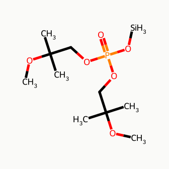 COC(C)(C)COP(=O)(O[SiH3])OCC(C)(C)OC